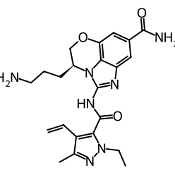 C=Cc1c(C)nn(CC)c1C(=O)Nc1nc2cc(C(N)=O)cc3c2n1[C@@H](CCCN)CO3